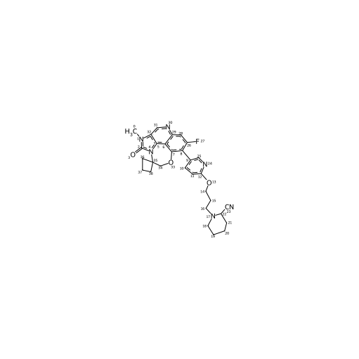 Cn1c(=O)n2c3c4c(c(-c5ccc(OCCCN6CCCCC6C#N)nc5)c(F)cc4ncc31)OCC21CCC1